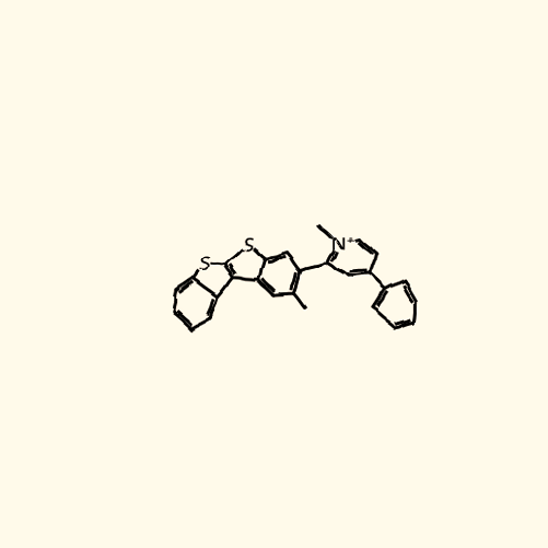 Cc1cc2c(cc1-c1cc(-c3ccccc3)cc[n+]1C)sc1sc3ccccc3c12